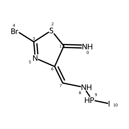 N=C1SC(Br)=N/C1=C/NPI